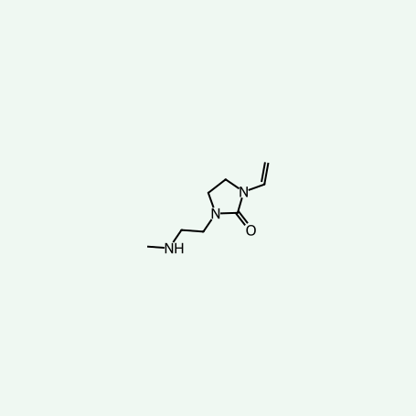 C=CN1CCN(CCNC)C1=O